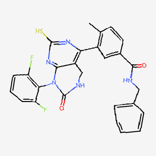 Cc1ccc(C(=O)NCc2ccccc2)cc1-c1nc(S)nc2c1CNC(=O)N2c1c(F)cccc1F